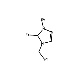 CCC1N(CC(C)C)C=NN1C(C)C